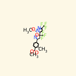 COCn1nc(C(F)(F)F)cc1C1(C(F)(F)F)CC(c2ccc(C(=O)OC)c(C)c2)=NO1